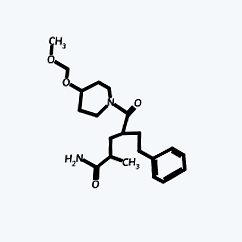 COCOC1CCN(C(=O)C(CCc2ccccc2)CC(C)C(N)=O)CC1